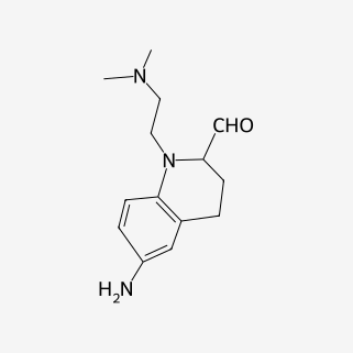 CN(C)CCN1c2ccc(N)cc2CCC1C=O